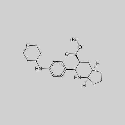 CC(C)(C)OC(=O)[C@H]1C[C@H]2CCC[C@H]2N[C@H]1c1ccc(NC2CCOCC2)cc1